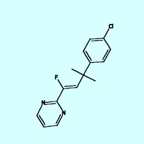 CC(C)(C=C(F)c1ncccn1)c1ccc(Cl)cc1